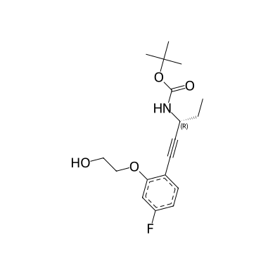 CC[C@H](C#Cc1ccc(F)cc1OCCO)NC(=O)OC(C)(C)C